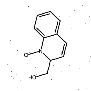 OCC1C=Cc2ccccc2N1Cl